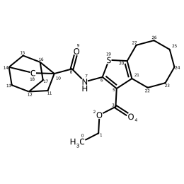 CCOC(=O)c1c(NC(=O)C23CC4CC(CC2C4)C3)sc2c1CCCCCC2